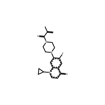 C=C(C)C(=O)N1CCN(c2cc3c(cc2F)c(=O)ccn3C2CC2)CC1